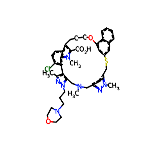 Cc1nn(CCCN2CCOCC2)c2c1-c1c(Cl)ccc3c(c(C(=O)O)n(C)c13)CCCOc1cc(cc3ccccc13)SCc1cc(nn1C)CN(C)C2